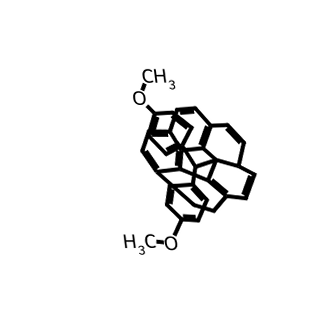 COc1ccc(C(c2ccc(OC)cc2)C23C4=C5C=CC2C=Cc2ccc6ccc(c4c6c23)CC5)cc1